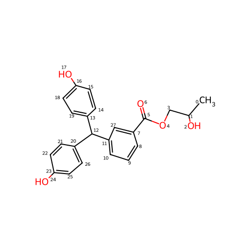 CC(O)COC(=O)c1cccc(C(c2ccc(O)cc2)c2ccc(O)cc2)c1